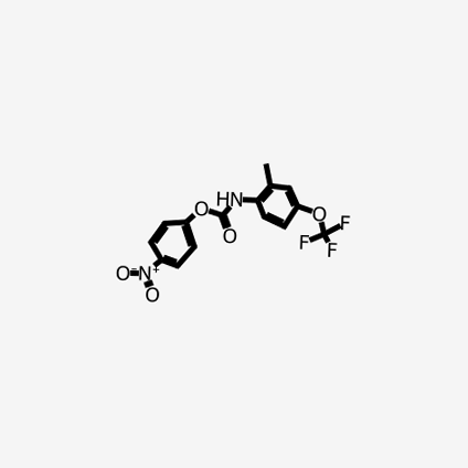 Cc1cc(OC(F)(F)F)ccc1NC(=O)Oc1ccc([N+](=O)[O-])cc1